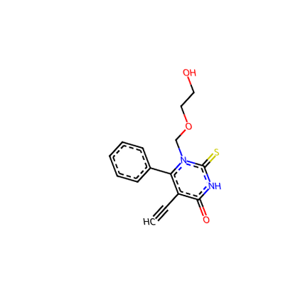 C#Cc1c(-c2ccccc2)n(COCCO)c(=S)[nH]c1=O